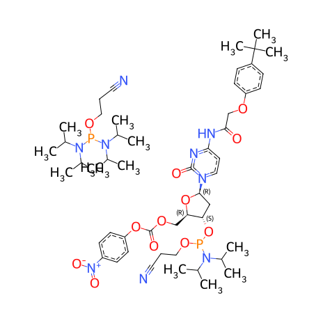 CC(C)N(C(C)C)P(OCCC#N)N(C(C)C)C(C)C.CC(C)N(C(C)C)P(OCCC#N)O[C@H]1C[C@H](n2ccc(NC(=O)COc3ccc(C(C)(C)C)cc3)nc2=O)O[C@@H]1COC(=O)Oc1ccc([N+](=O)[O-])cc1